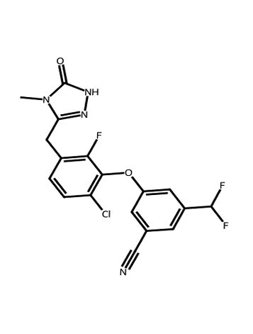 Cn1c(Cc2ccc(Cl)c(Oc3cc(C#N)cc(C(F)F)c3)c2F)n[nH]c1=O